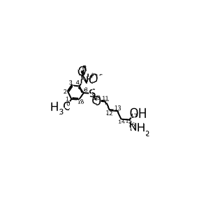 Cc1ccc([N+](=O)[O-])c(SOCCCC[C@@H](N)O)c1